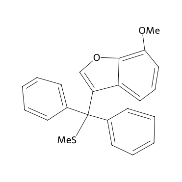 COc1cccc2c(C(SC)(c3ccccc3)c3ccccc3)coc12